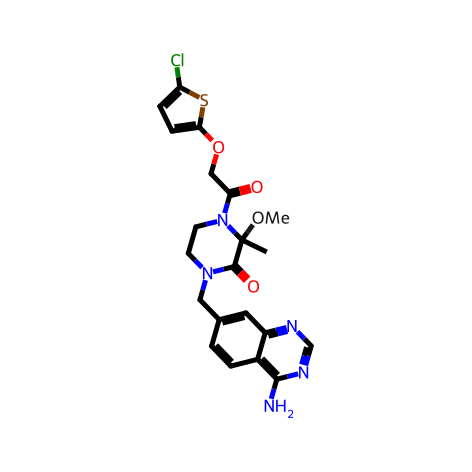 COC1(C)C(=O)N(Cc2ccc3c(N)ncnc3c2)CCN1C(=O)COc1ccc(Cl)s1